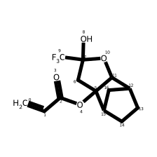 C=CC(=O)OC12CC(O)(C(F)(F)F)OC1C1CCC2C1